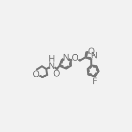 O=C(NC1CCOCC1)c1ccc(OCc2conc2-c2ccc(F)cc2)nc1